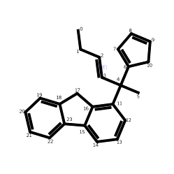 CC/C=C/C(C)(C1=CC=CC1)c1cccc2c1Cc1ccccc1-2